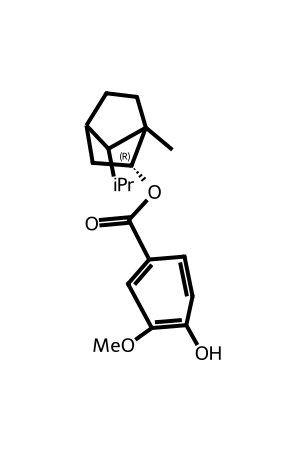 COc1cc(C(=O)O[C@@H]2CC3CCC2(C)C3C(C)C)ccc1O